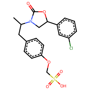 CC(Cc1ccc(OCS(=O)(=O)O)cc1)N1CC(c2cccc(Cl)c2)OC1=O